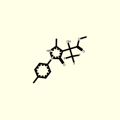 COC(=O)C(O)(c1c(C)[nH]n(-c2ccc(C)cc2)c1=O)C(F)(F)F